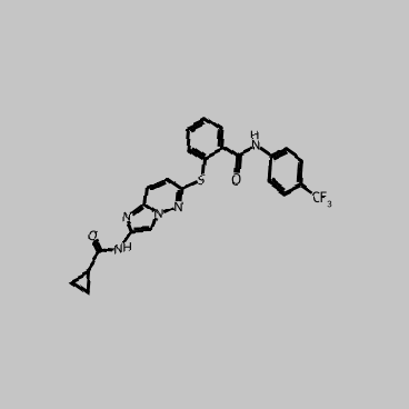 O=C(Nc1ccc(C(F)(F)F)cc1)c1ccccc1Sc1ccc2nc(NC(=O)C3CC3)cn2n1